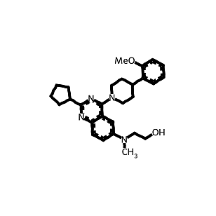 COc1ccccc1C1CCN(c2nc(C3CCCC3)nc3ccc(N(C)CCO)cc23)CC1